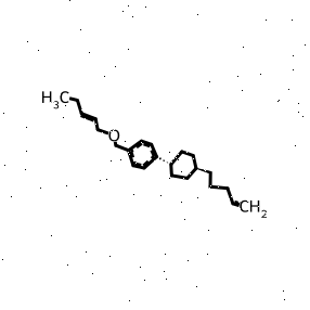 C=CCCC[C@H]1CC[C@H](c2ccc(COCC=CCC)cc2)CC1